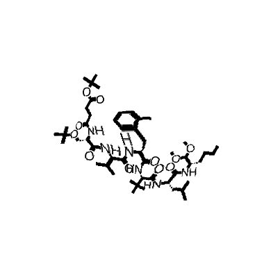 CCCC[C@H](NC(=O)[C@H](CC(C)C)NC(=O)[C@@H](NC(=O)[C@H](Cc1ccccc1C)NC(=O)[C@H](NC(=O)[C@H](COC(C)(C)C)NC(=O)CCC(=O)OC(C)(C)C)C(C)C)C(C)(C)C)C(OC)OC